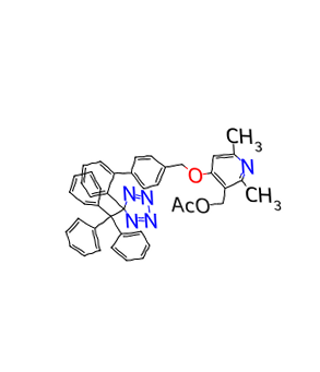 CC(=O)OCc1c(OCc2ccc(-c3ccccc3C3(C(c4ccccc4)(c4ccccc4)c4ccccc4)N=NN=N3)cc2)cc(C)nc1C